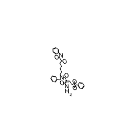 NC(=O)[C@H](CCS(=O)(=O)c1ccccc1)C(=O)N(CCCCCC(=O)c1nc2ccccc2o1)Cc1ccccc1